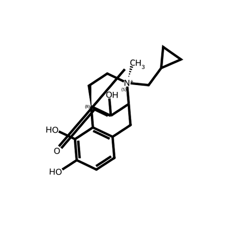 C[N@@+]1(CC2CC2)CC[C@]23CC(=O)CCC2(O)C1Cc1ccc(O)c(O)c13